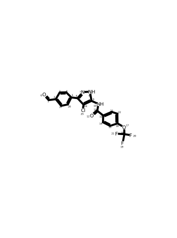 O=Cc1ccc(-c2n[nH]c(NC(=O)c3ccc(OC(F)(F)F)cc3)c2Cl)cc1